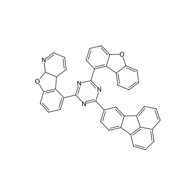 C1=CC2c3c(cccc3-c3nc(-c4ccc5c(c4)-c4cccc6cccc-5c46)nc(-c4cccc5oc6ccccc6c45)n3)OC2N=C1